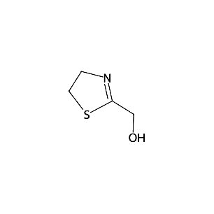 OCC1=NCCS1